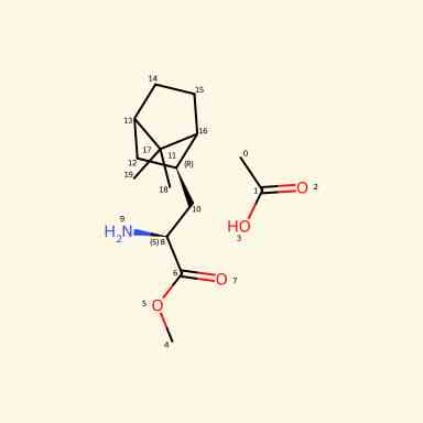 CC(=O)O.COC(=O)[C@@H](N)C[C@H]1CC2CCC1C2(C)C